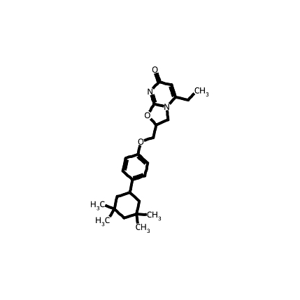 CCc1cc(=O)nc2n1CC(COc1ccc(C3CC(C)(C)CC(C)(C)C3)cc1)O2